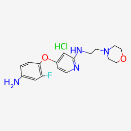 Cl.Nc1ccc(Oc2ccnc(NCCN3CCOCC3)c2)c(F)c1